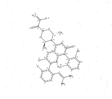 BC(B)=Cc1cccc(F)c1-c1nc2c(cc1Cl)c(N1[C@@H](C)CN(C(=O)C(=C)F)C[C@@H]1C)nc(=O)n2-c1c(C)ccnc1C(C)C